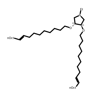 CCCCCCCCC=CCCCCCCCCO[C@@H]1CN(CC)C[C@H]1OCCCCCCCCC=CCCCCCCCC